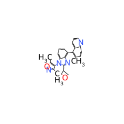 Cc1ccc2ncccc2c1-c1cccc2c1nc(C1COC1)n2-c1c(C)noc1C